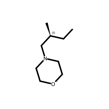 CC[C@H](C)CN1CCOCC1